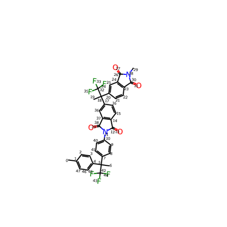 Cc1ccc(C(C)(c2ccc(N3C(=O)c4ccc(C(C)(c5ccc6c(c5)C(=O)N(C)C6=O)C(F)(F)F)cc4C3=O)cc2)C(F)(F)F)cc1